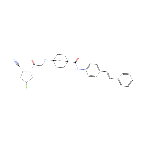 N#C[C@@H]1C[C@H](F)CN1C(=O)CNC12CCC(C(=O)Nc3ccc(/C=C/c4ccccc4)cc3)(CC1)CC2